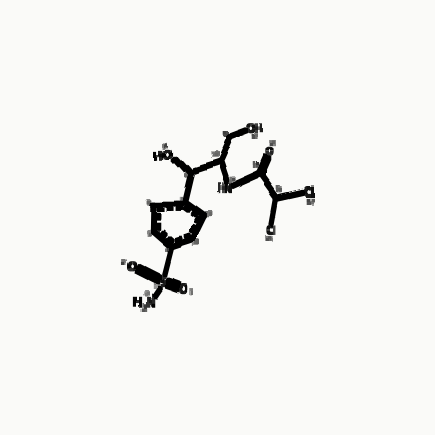 NS(=O)(=O)c1ccc(C(O)C(CO)NC(=O)C(Cl)Cl)cc1